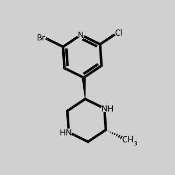 C[C@@H]1CNC[C@@H](c2cc(Cl)nc(Br)c2)N1